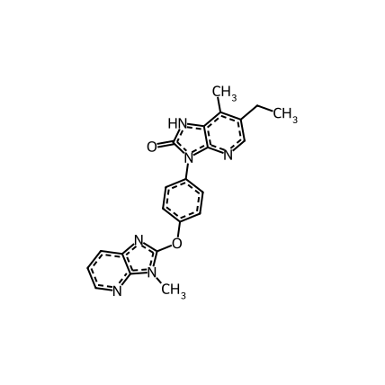 CCc1cnc2c([nH]c(=O)n2-c2ccc(Oc3nc4cccnc4n3C)cc2)c1C